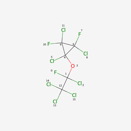 FC(Cl)(OC1(Cl)C(F)(Cl)C1(F)Cl)C(Cl)(Cl)Cl